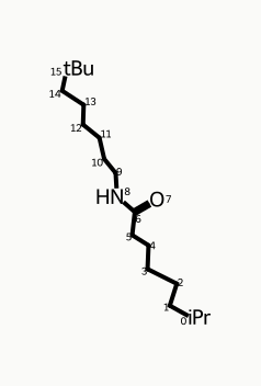 CC(C)CCCCCC(=O)NCCCCCCC(C)(C)C